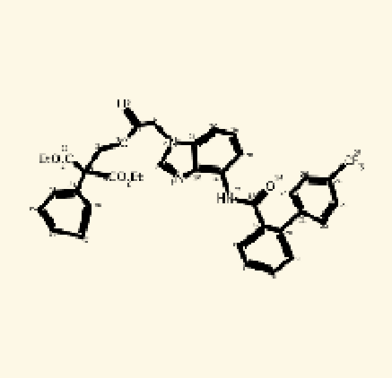 CCOC(=O)C(COC(=O)Cn1cnc2c(NC(=O)c3ccccc3-c3ccc(C(F)(F)F)cc3)cccc21)(C(=O)OCC)c1ccccc1